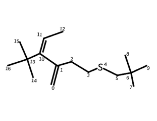 C=C(CCSCC(C)(C)C)/C(=C\C)C(C)(C)C